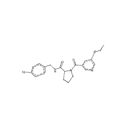 CCOc1cncc(C(=O)N2CCCC2C(=O)NCc2ccc(Cl)cc2)c1